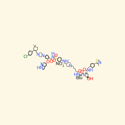 Cc1ncsc1-c1ccc(CNC(=O)[C@@H]2C[C@@H](O)CN2C(=O)[C@@H](NC(=O)CCCCN2CCC(CNc3ccc(S(=O)(=O)NC(=O)c4ccc(N5CCN(CC6=C(c7ccc(Cl)cc7)CC(C)(C)CC6)CC5)cc4Oc4cnc5[nH]ccc5c4)cc3[N+](=O)[O-])CC2)C(C)(C)C)cc1